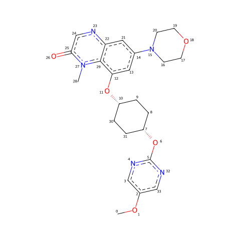 COc1cnc(O[C@H]2CC[C@@H](Oc3cc(N4CCOCC4)cc4ncc(=O)n(C)c34)CC2)nc1